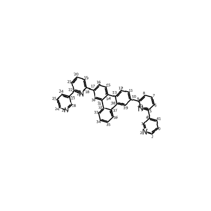 c1cncc(-c2cccc(-c3ccc4c5ccc(-c6cccc(-c7cccnc7)n6)cc5c5ccccc5c4c3)n2)c1